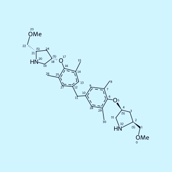 COC[C@@H]1C[C@H](Oc2c(C)cc(Cc3cc(C)c(O[C@@H]4CN[C@H](COC)C4)c(C)c3)cc2C)CN1